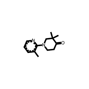 Cc1cccnc1N1CCC(=O)C(C)(C)C1